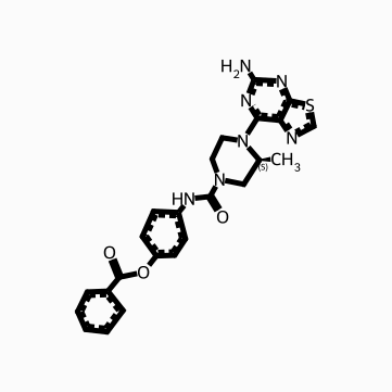 C[C@H]1CN(C(=O)Nc2ccc(OC(=O)c3ccccc3)cc2)CCN1c1nc(N)nc2scnc12